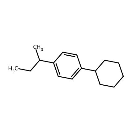 CCC(C)c1ccc(C2CCCCC2)cc1